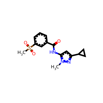 Cn1nc(C2CC2)cc1NC(=O)c1cccc(S(C)(=O)=O)c1